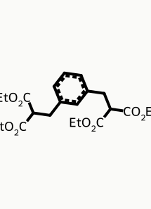 CCOC(=O)C(Cc1cccc(CC(C(=O)OCC)C(=O)OCC)c1)C(=O)OCC